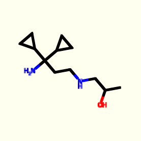 CC(O)CNCCC(N)(C1CC1)C1CC1